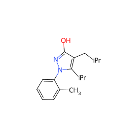 Cc1ccccc1-n1nc(O)c(CC(C)C)c1C(C)C